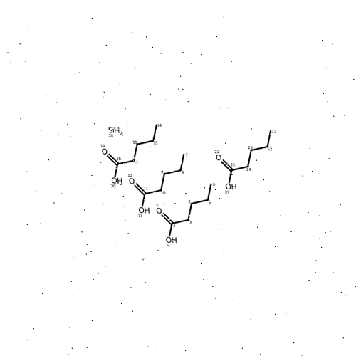 CCCCC(=O)O.CCCCC(=O)O.CCCCC(=O)O.CCCCC(=O)O.[SiH4]